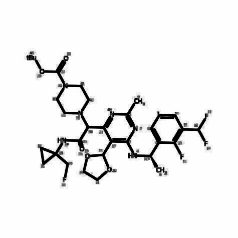 Cc1nc(N[C@H](C)c2cccc(C(F)F)c2F)c(C2OCCO2)c(C(C(=O)NC2(CF)CC2)N2CCN(C(=O)OC(C)(C)C)CC2)n1